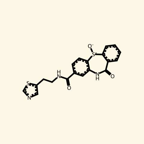 O=C(NCCc1cncs1)c1ccc2c(c1)NC(=O)c1ccccc1[S+]2[O-]